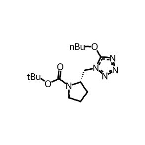 CCCCOc1nnnn1C[C@@H]1CCCN1C(=O)OC(C)(C)C